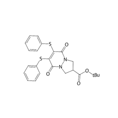 CC(C)(C)OC(=O)C1Cn2c(=O)c(Sc3ccccc3)c(Sc3ccccc3)c(=O)n2C1